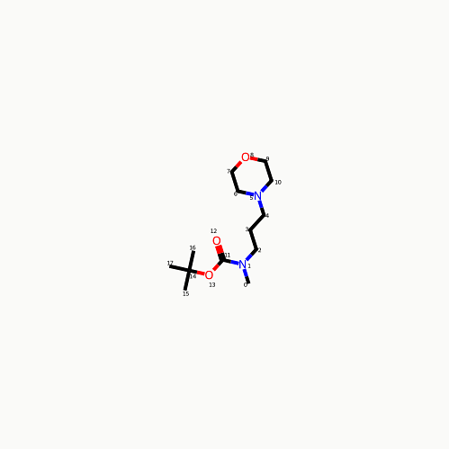 CN(CCCN1CCOCC1)C(=O)OC(C)(C)C